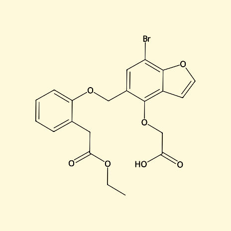 CCOC(=O)Cc1ccccc1OCc1cc(Br)c2occc2c1OCC(=O)O